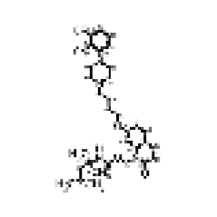 CC(C)CC(C)(C)NC(=O)OCn1c(=O)ccc2ccc(OCCCCN3CCN(c4cccc(Cl)c4Cl)CC3)cc21